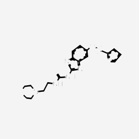 O=C(NCCN1CCOCC1)Nc1nc2cc(OS(=O)(=O)c3cccs3)ccc2[nH]1